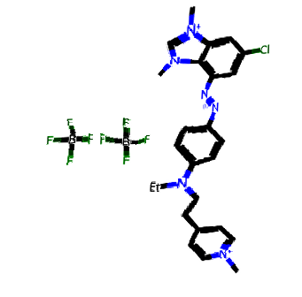 CCN(CCc1cc[n+](C)cc1)c1ccc(/N=N/c2cc(Cl)cc3c2n(C)c[n+]3C)cc1.F[B-](F)(F)F.F[B-](F)(F)F